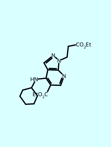 CCOC(=O)CCn1ncc2c(NC3CCCCC3)c(C(=O)OCC)cnc21